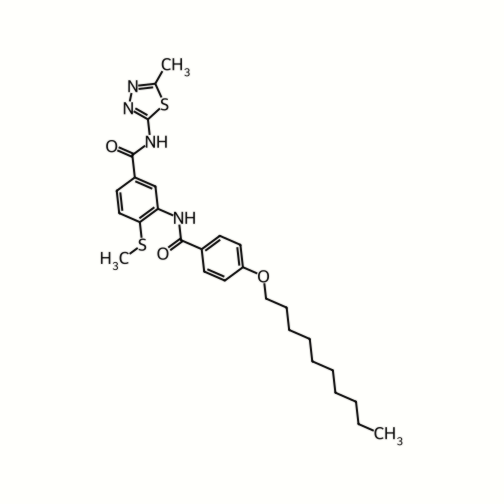 CCCCCCCCCCOc1ccc(C(=O)Nc2cc(C(=O)Nc3nnc(C)s3)ccc2SC)cc1